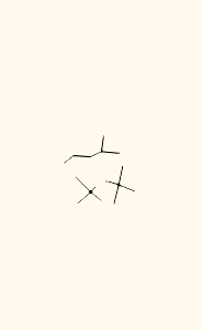 CC(C)(C)OC(C)(C)C.CCCC(O)O